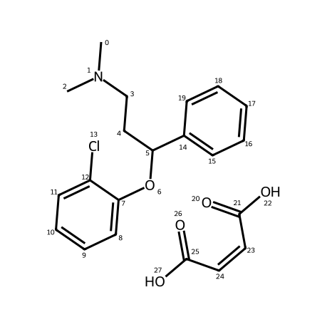 CN(C)CCC(Oc1ccccc1Cl)c1ccccc1.O=C(O)/C=C\C(=O)O